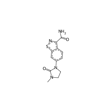 CN1CCN(c2ccc3c(C(N)=O)nsc3c2)C1=O